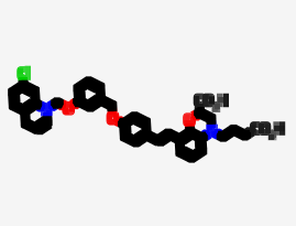 O=C(O)CCCN1CC(C(=O)O)Oc2c(C=Cc3ccc(OCc4cccc(OCN5C#CCc6ccc(Cl)cc65)c4)cc3)cccc21